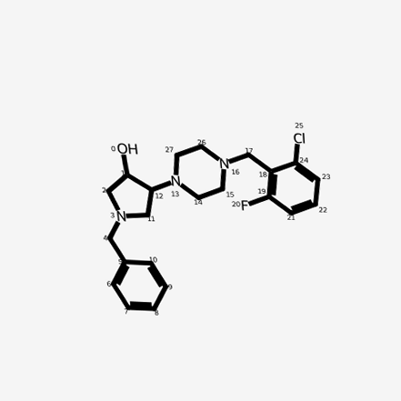 OC1CN(Cc2ccccc2)CC1N1CCN(Cc2c(F)cccc2Cl)CC1